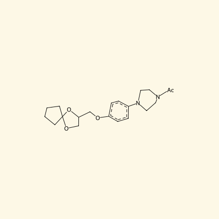 CC(=O)N1CCN(c2ccc(OCC3COC4(CCCC4)O3)cc2)CC1